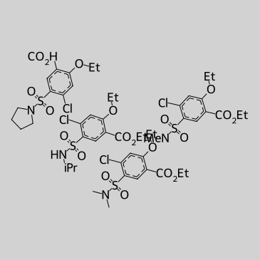 CCOC(=O)c1cc(S(=O)(=O)N(C)C)c(Cl)cc1OCC.CCOC(=O)c1cc(S(=O)(=O)NC(C)C)c(Cl)cc1OCC.CCOC(=O)c1cc(S(=O)(=O)NC)c(Cl)cc1OCC.CCOc1cc(Cl)c(S(=O)(=O)N2CCCC2)cc1C(=O)O